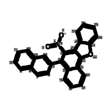 O=[N+]([O-])c1c(-c2ccc3ccccc3c2)c2ccccc2c2oc3ccccc3c12